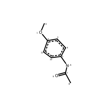 COc1ccc([N]C(C)=O)cc1